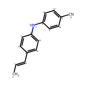 C/C=C/c1ccc(Nc2ccc(C#N)cc2)cc1